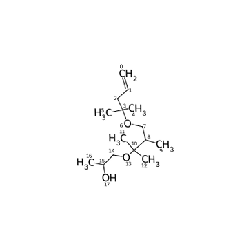 C=CCC(C)(C)OCC(C)C(C)(C)OCC(C)O